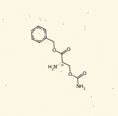 NC(=O)OC[C@H](N)C(=O)OCc1ccccc1